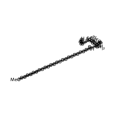 CCCC1=CC(C)(C)N(CCCCCC(=O)ON2C(=O)CCC2=O)c2cc3c(cc21)C(C(F)(F)F)=c1cc2c(cc1O3)=[N+](CCCCCC(=O)NCCOCCOCCOCCOCCOCCOCCOCCOCCOCCOCCOCCOCCOCCOCCOCCOCCOCCOCCOCCOCCOCCOCCOCCOC)C(C)(C)C=C2CS(=O)(=O)[O-]